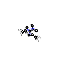 N#Cc1c(-n2c3ccccc3c3cc(-c4cc(C(F)(F)F)cc(C(F)(F)F)c4)ccc32)cc(-c2cc(-c3ccccc3)nc(-c3ccccc3)n2)cc1-n1c2ccccc2c2cc(-c3cc(C(F)(F)F)cc(C(F)(F)F)c3)ccc21